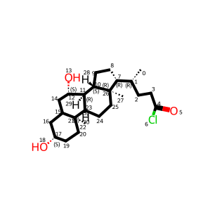 C[C@H](CCC(=O)Cl)[C@H]1CC[C@H]2[C@@H]3[C@@H](O)CC4C[C@@H](O)CC[C@]4(C)[C@H]3CC[C@]12C